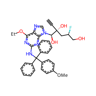 C#C[C@@](O)(C[C@@H](F)CO)[C@@H](O)n1cnc2c(OCC)nc(NC(c3ccccc3)(c3ccccc3)c3ccc(OC)cc3)nc21